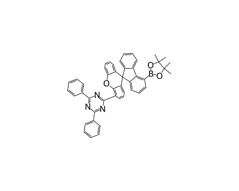 CC1(C)OB(c2cccc3c2-c2ccccc2C32c3ccccc3Oc3c(-c4nc(-c5ccccc5)nc(-c5ccccc5)n4)cccc32)OC1(C)C